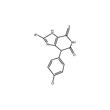 CC(C)c1nc2c([nH]1)c(=S)[nH]c(=O)n2-c1ccc(Cl)cc1